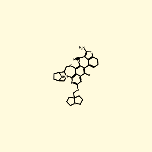 N#Cc1c(N)sc2c1C(c1c(Cl)c3c4c(nc(OCC56CCCN5CCC6)nc4c1F)N1CC4CCC(N4)C1CO3)=CCC2